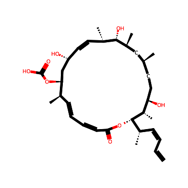 C=C/C=C\[C@H](C)[C@@H]1OC(=O)/C=C\C=C\[C@@H](C)[C@@H](OC(=O)O)C[C@H](O)/C=C\[C@H](C)[C@H](O)[C@@H](C)C[C@@H](C)CC[C@@H](O)[C@@H]1C